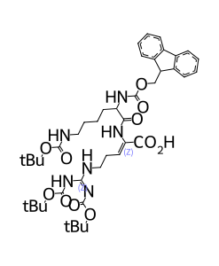 CC(C)(C)OC(=O)/N=C(/NCC/C=C(\NC(=O)C(CCCCNC(=O)OC(C)(C)C)NC(=O)OCC1c2ccccc2-c2ccccc21)C(=O)O)NC(=O)OC(C)(C)C